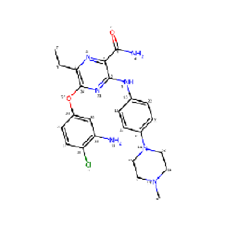 CCc1nc(C(N)=O)c(Nc2ccc(N3CCN(C)CC3)cc2)nc1Oc1ccc(Cl)c(N)c1